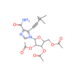 CC(=O)OCC1OC(n2cnc(C(N)=O)c2C#C[Si](C)(C)C)C(OC(C)=O)C1OC(C)=O